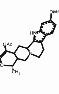 COc1ccc2c3c([nH]c2c1)C1CC2C(OC(C)=O)=CO[C@@H](C)C2CN1CC3